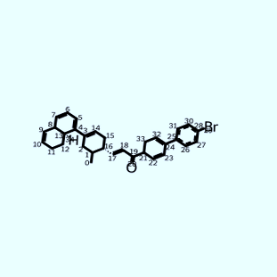 CC1CC(C2=CC=CC3C=CCC[C@H]23)=CC[C@@H]1/C=C/C(=O)C1C=CC(c2ccc(Br)cc2)=CC1